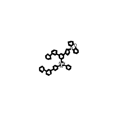 c1ccc(-c2cccc(-c3ccc(-c4nc(-c5ccccc5)nc(-c5cc(-c6ccc(N7c8ccccc8Oc8ccccc87)cc6)cc(-c6cccc(-c7ccccc7)c6)c5)n4)cc3)c2)cc1